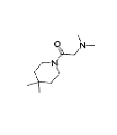 CN(C)CC(=O)N1CCC(C)(C)CC1